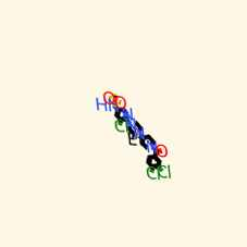 CC[C@H]1CN(c2ncc(NS(C)(=O)=O)cc2Cl)CCN1C1CCN(C(=O)c2ccc(Cl)c(Cl)c2)CC1